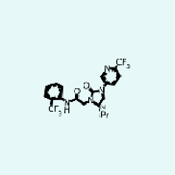 CC(C)[C@H]1CN(c2ccc(C(F)(F)F)nc2)C(=O)N1CC(=O)Nc1ccccc1C(F)(F)F